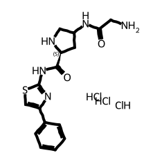 Cl.Cl.Cl.NCC(=O)NC1CN[C@H](C(=O)Nc2nc(-c3ccccc3)cs2)C1